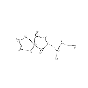 CC[C@H](C)C1COC2(CCOC2)O1